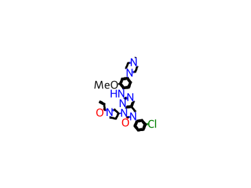 C=CC(=O)N1CC[C@H](N2C(=O)N(c3cccc(Cl)c3)Cc3cnc(Nc4ccc(N5CCN(C)CC5)cc4OC)nc32)C1